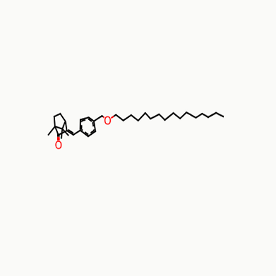 CCCCCCCCCCCCCCCCOCc1ccc(C=C2C(=O)C3(C)CCC2C3(C)C)cc1